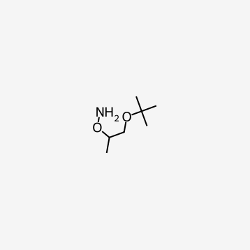 CC(COC(C)(C)C)ON